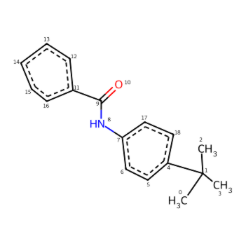 CC(C)(C)c1ccc(NC(=O)c2ccccc2)cc1